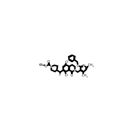 Cc1cc(C)c(CN2CCc3c(Cl)cc(C(F)C4CCN(C(=O)OC(C)(C)C)CC4)c(Cl)c3C2=O)c(OCc2ccccc2)n1